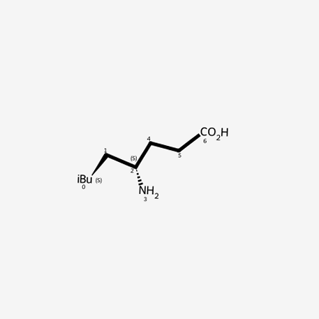 CC[C@H](C)C[C@@H](N)CCC(=O)O